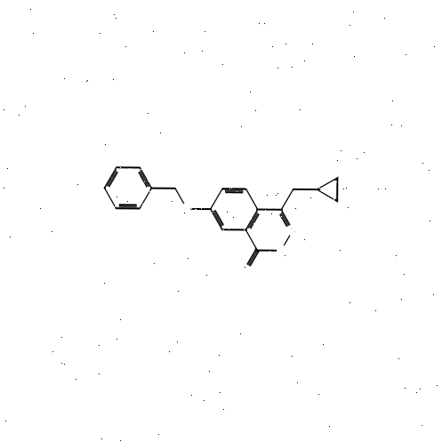 O=c1[nH]nc(CC2CC2)c2ccc(SCc3ccccc3)cc12